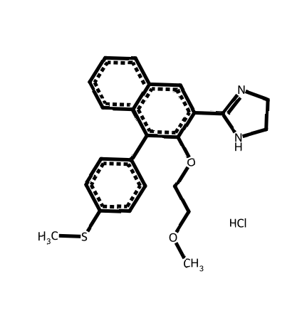 COCCOc1c(C2=NCCN2)cc2ccccc2c1-c1ccc(SC)cc1.Cl